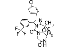 CC(C)(C)C1=NC(c2ccc(Cl)cc2)C(c2cccc(C(F)(F)F)c2)N1C(=O)N1CCNC(=O)C1